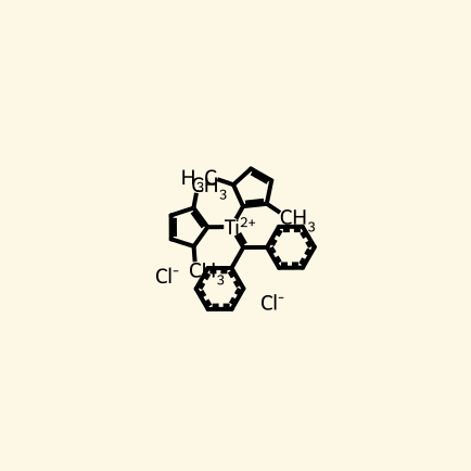 CC1=[C]([Ti+2]([C]2=C(C)C=CC2C)=[C](c2ccccc2)c2ccccc2)C(C)C=C1.[Cl-].[Cl-]